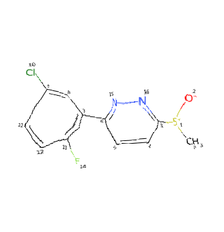 C[S+]([O-])c1ccc(-c2cc(Cl)ccc2F)nn1